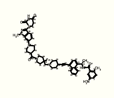 Cc1ccc(N)cc1C(=O)N[C@H](C)c1ccc(C#CC2CCN(CC3(F)CCN(C(=O)C4CCN(c5ccc6c(N7CCC(=O)NC7=O)nn(C)c6c5)CC4)CC3)CC2)c2ccccc12